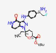 CC(C)(C)OC(=O)[C@@H]1CC[C@@](CC#N)(n2nc(Nc3ccc([C@H](N)CF)cc3)c3c(=O)[nH]ccc32)CO1